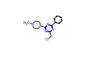 CN1CCN(c2nc(CCl)nc(-c3ccccc3)n2)CC1